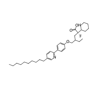 CCCCCCCCCCc1ccc(-c2ccc(OCC(CC)C[C@@](F)(C(=O)O)C3CCCCC3)cc2)nc1